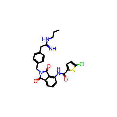 CCCNC(=N)Cc1ccc(CN2C(=O)c3cccc(NC(=O)c4ccc(Cl)s4)c3C2=O)cc1